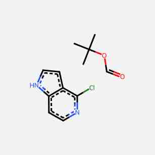 CC(C)(C)OC=O.Clc1nccc2[nH]ccc12